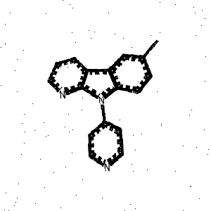 Cc1ccc2c(c1)c1cccnc1n2-c1ccncc1